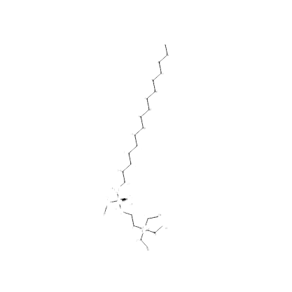 CCCCCCCCCCCCCCCCOP(=O)(OC)OCC[N+](CC)(CC)CC